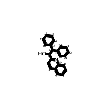 OC(c1ccc2ccccc2n1)C(c1ccccc1)c1ccccc1